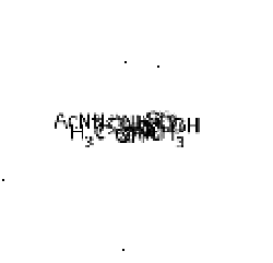 CC(=O)NC(C)c1ccc(NC(=O)c2cc(Oc3ccc(O)cc3)n(C)n2)c(O)c1